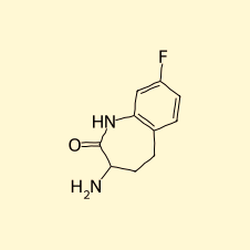 NC1CCc2ccc(F)cc2NC1=O